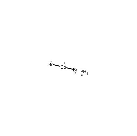 P.[Br][Co][Br]